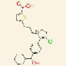 O=C(O)c1ccc(CCC[C@H]2CCC(Cl)=C2c2ccc(C(O)C3CCCCC3)cc2)s1